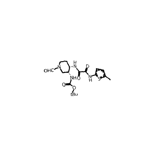 Cc1ccc(NC(=O)C(=O)N[C@H]2CCN(C=O)C[C@H]2NC(=O)OC(C)(C)C)s1